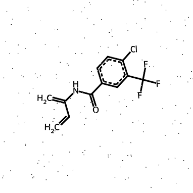 C=CC(=C)NC(=O)c1ccc(Cl)c(C(F)(F)F)c1